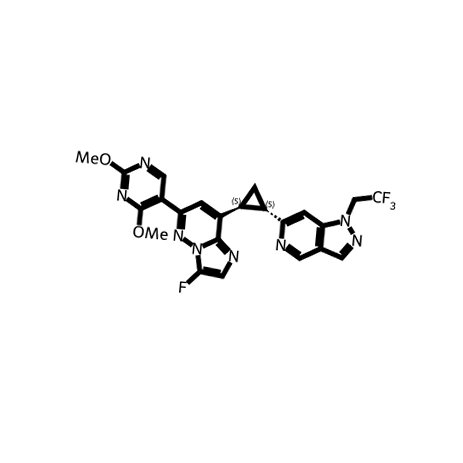 COc1ncc(-c2cc([C@H]3C[C@@H]3c3cc4c(cn3)cnn4CC(F)(F)F)c3ncc(F)n3n2)c(OC)n1